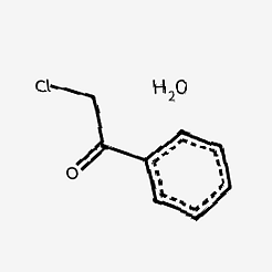 O.O=C(CCl)c1ccccc1